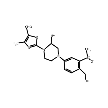 CC(C)C1CN(c2ccc(CO)c([S+](C)[O-])c2)CCN1c1nc(C(F)(F)F)c(C=O)s1